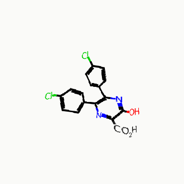 O=C(O)c1nc(-c2ccc(Cl)cc2)c(-c2ccc(Cl)cc2)nc1O